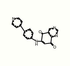 O=C1C(Nc2ccc(-c3ccncc3)cc2)=CC(=O)c2ncncc21